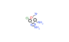 CN(C)CCCOc1cc(-c2n[c]c(N)nc2-c2ccccc2CN)ccc1Cl